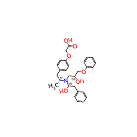 C[C@H](Cc1ccc(OCC(=O)O)cc1)N(C[C@H](O)COc1ccccc1)[C@H](O)Cc1ccccc1